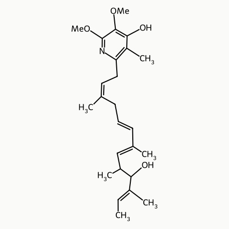 CC=C(C)C(O)C(C)C=C(C)C=CCC(C)=CCc1nc(OC)c(OC)c(O)c1C